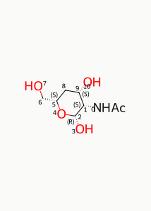 CC(=O)N[C@@H]1[C@H](O)O[C@H](CO)C[C@@H]1O